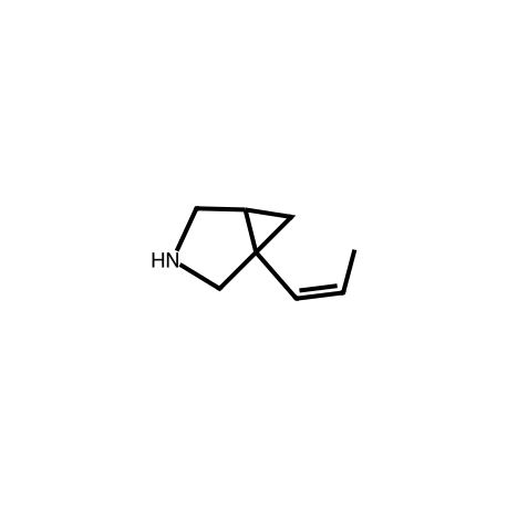 C/C=C\C12CNCC1C2